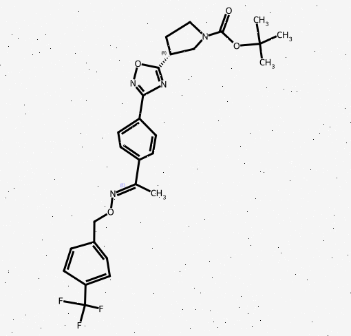 C/C(=N\OCc1ccc(C(F)(F)F)cc1)c1ccc(-c2noc([C@@H]3CCN(C(=O)OC(C)(C)C)C3)n2)cc1